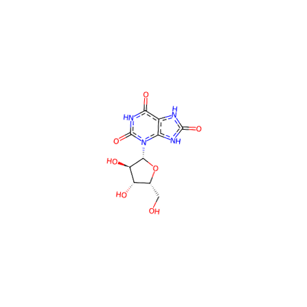 O=c1[nH]c2c(=O)[nH]c(=O)n([C@@H]3O[C@H](CO)[C@H](O)[C@H]3O)c2[nH]1